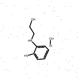 CCO.OCCNc1ccccc1S